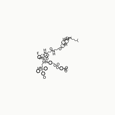 COc1ccc(C(NCCCC[C@H](NC(=O)[C@H](Cc2ccccc2F)NC(=O)CCC(=O)NCCCO[C@H]2CC[C@@]3(C)C(=CC[C@H]4[C@@H]5CC[C@H]([C@H](C)CCCC(C)C)[C@@]5(C)CC[C@@H]43)C2)C(=O)Nc2ccc(COC(=O)Oc3ccc([N+](=O)[O-])cc3)cc2)(c2ccccc2)c2ccccc2)cc1